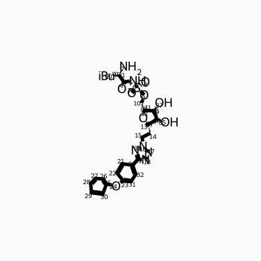 CC[C@H](C)[C@H](N)C(=O)NS(=O)(=O)OC[C@H]1O[C@@H](CCn2nnc(-c3ccc(Oc4ccccc4)cc3)n2)[C@H](O)[C@@H]1O